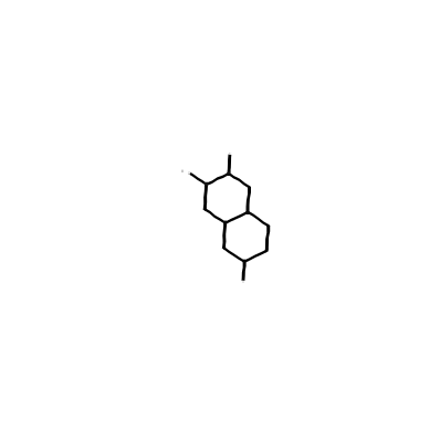 CCCCC1CC2CC(C(=O)O)CCC2CC1C(=O)O